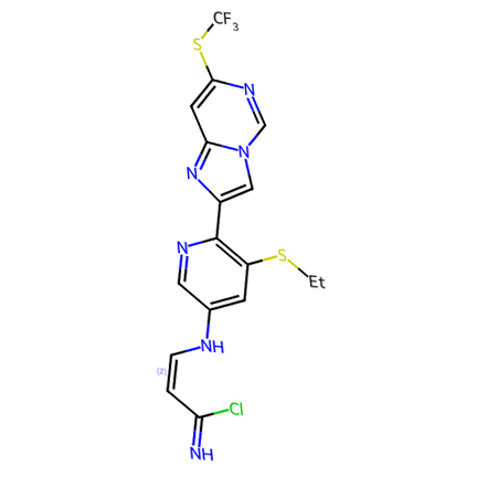 CCSc1cc(N/C=C\C(=N)Cl)cnc1-c1cn2cnc(SC(F)(F)F)cc2n1